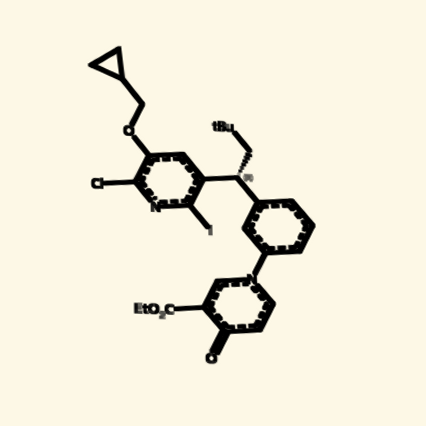 CCOC(=O)c1cn(-c2cccc([C@@H](CC(C)(C)C)c3cc(OCC4CC4)c(Cl)nc3I)c2)ccc1=O